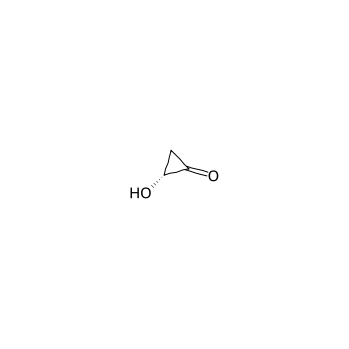 O=C1C[C@H]1O